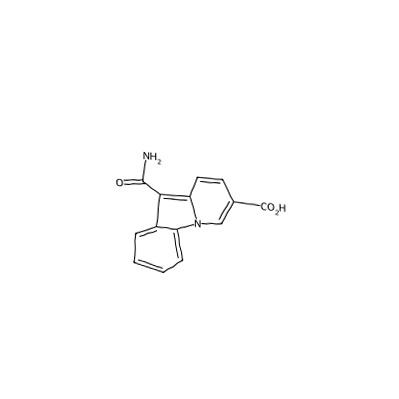 NC(=O)c1c2ccccc2n2cc(C(=O)O)ccc12